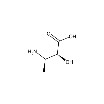 C[C@@H](N)[C@H](O)C(=O)O